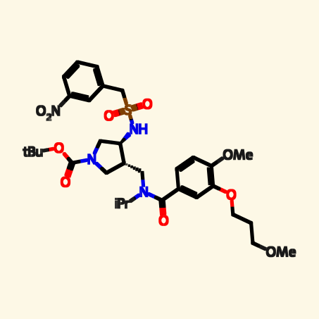 COCCCOc1cc(C(=O)N(C[C@@H]2CN(C(=O)OC(C)(C)C)C[C@H]2NS(=O)(=O)Cc2cccc([N+](=O)[O-])c2)C(C)C)ccc1OC